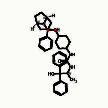 C[C@H](NC(=O)NC1CCC(CCN2[C@@H]3CC[C@H]2CC(O)(c2ccccc2)C3)CC1)C(O)(c1ccccc1)c1ccccc1